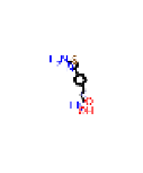 Nc1nc(-c2ccc(/C=C/C(=O)NO)cc2)cs1